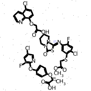 COC(=O)CSc1cc(/N=c2\sc(=O)n3n2CCCC3)c(F)cc1Cl.C[C@@H](Oc1ccc(Oc2ncc(Cl)cc2F)cc1)C(=O)O.O=C(O)COc1ccc(Cl)c2cccnc12